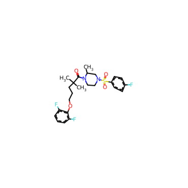 CC1CN(S(=O)(=O)c2ccc(F)cc2)CCN1C(=O)C(C)(C)CCCOc1c(F)cccc1F